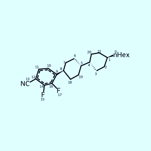 CCCCCC[C@H]1CC[C@H]([C@H]2CC[C@H](c3ccc(C#N)c(F)c3F)CC2)CC1